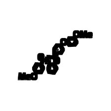 COc1ccc(C(=O)N(CC(=O)N2CCC(Oc3cccc(OC)c3)CC2)c2ccccc2)cc1